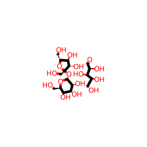 O=C[C@@H](O)[C@H](O)[C@@H](O)CO.OC[C@H]1O[C@@](CO)(O[C@H]2O[C@H](CO)[C@@H](O)[C@H](O)[C@H]2O)[C@@H](O)[C@@H]1O